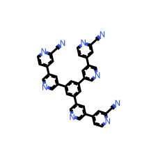 N#Cc1cc(-c2cncc(-c3cc(-c4cncc(-c5ccnc(C#N)c5)c4)cc(-c4cncc(-c5ccnc(C#N)c5)c4)c3)c2)ccn1